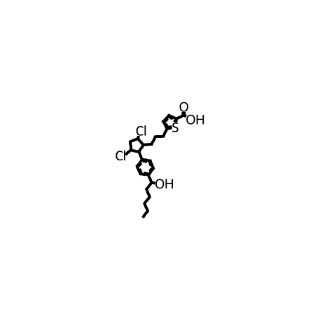 CCCCCC(O)c1ccc(C2C(Cl)CC(Cl)C2CCCc2ccc(C(=O)O)s2)cc1